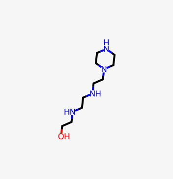 OCCNCCNCCN1CCNCC1